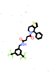 O=C(CCC(=O)N1CCc2sccc2C1c1ccccc1)NCc1cc(C(F)(F)F)cc(C(F)(F)F)c1